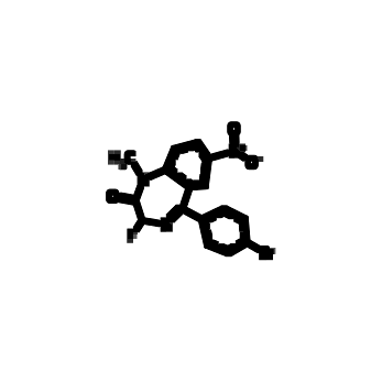 CN1C(=O)C(F)N=C(c2ccc(Br)cc2)c2cc([N+](=O)[O-])ccc21